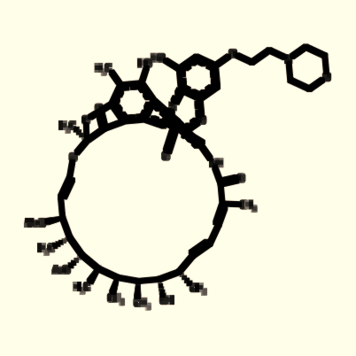 CO[C@H]1/C=C/O[C@@]2(C)Oc3c(C)c(O)c4c(=O)c(c5oc6cc(OCCN7CCOCC7)cc(O)c6nc-5c4c3C2=O)NC(=O)/C(C)=C\C=C\[C@H](C)[C@H](O)[C@@H](C)[C@@H](C)[C@@H](C)[C@H](OC(C)=O)[C@@H]1C